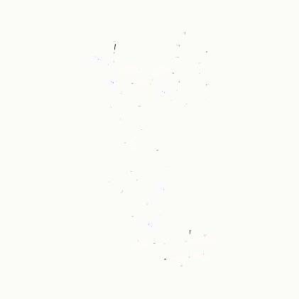 CCN(Cc1cc(NC(=O)[C@H](C)N)ccc1COc1ccc2nc3c(c4c2c1CCC4)Cn1c-3cc2c(c1=O)COC(=O)[C@]2(O)CC)C(=O)OC1c2ccccc2-c2ccccc21